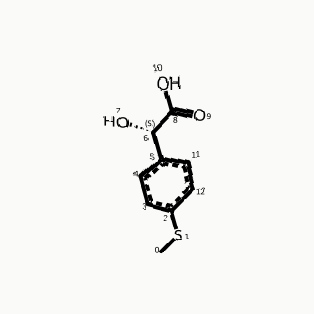 CSc1ccc([C@H](O)C(=O)O)cc1